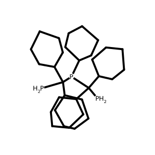 PC(C1CCCCC1)(C1CCCCC1)P(C1CCCCC1)C(P)(C1CCCCC1)C1CCCCC1